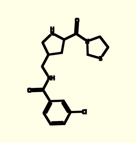 O=C(NCC1CNC(C(=O)N2CCSC2)C1)c1cccc(Cl)c1